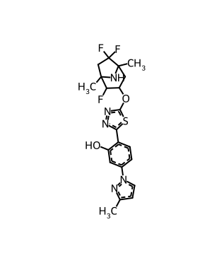 Cc1ccn(-c2ccc(-c3nnc(OC4CC5(C)NC(C)(CC5(F)F)C4F)s3)c(O)c2)n1